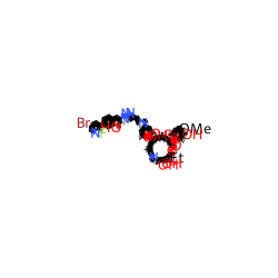 CC[C@H]1OC(=O)[C@H](C)[C@@H](O[C@H]2C[C@@](C)(OC)[C@@H](O)[C@H](C)O2)[C@H](C)[C@@H](O[C@H]2C[C@@H](N(C)CCc3cn([C@H](CO)Cc4ccc(-c5cc(Br)cnc5F)cc4)nn3)C[C@@H](C)O2)[C@](C)(O)C[C@@H](C)CN(C)[C@H](C)[C@@H](O)[C@]1(C)O